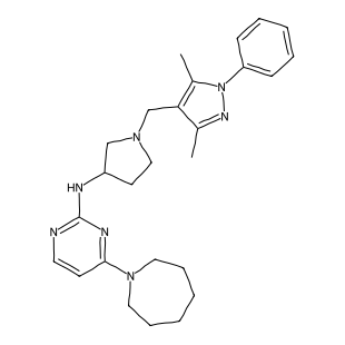 Cc1nn(-c2ccccc2)c(C)c1CN1CCC(Nc2nccc(N3CCCCCC3)n2)C1